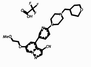 COCCOc1cc(-c2ccc(N3CCN(CC4CCOCC4)CC3)nc2)c2c(C#N)cnn2c1.O=C(O)C(F)(F)F